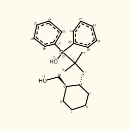 CC(C)(C[C@@H]1CCCC[C@H]1CO)[Si](O)(c1ccccc1)c1ccccc1